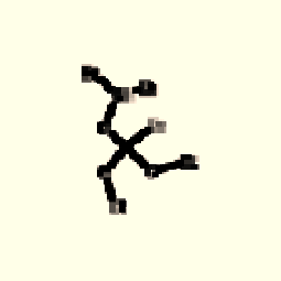 CCOC(CC)(OCC)O[SiH](CC)CC